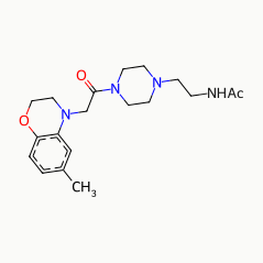 CC(=O)NCCN1CCN(C(=O)CN2CCOc3ccc(C)cc32)CC1